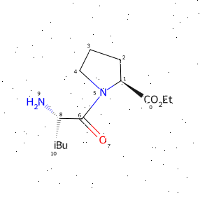 CCOC(=O)[C@@H]1CCCN1C(=O)[C@@H](N)[C@@H](C)CC